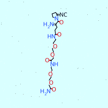 [C-]#[N+][C@@H]1CCCN1C(=O)[C@@H](N)CCC(=O)NCCOCCOCC(=O)NCCOCCOCC(N)=O